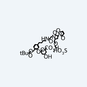 CC(C)(C)C(=O)OCc1ccc(CCCCNC(=O)CN2C(=O)C(N3C(=O)C=CC3=O)CC2COCCS(=O)(=O)O)cc1OC1CC(O)CC(C(=O)O)O1